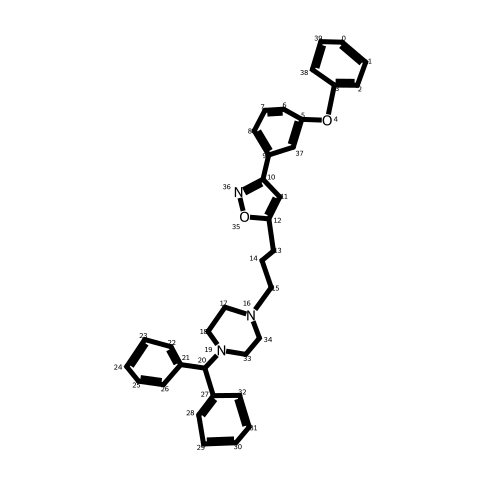 c1ccc(Oc2cccc(-c3cc(CCCN4CCN(C(c5ccccc5)c5ccccc5)CC4)on3)c2)cc1